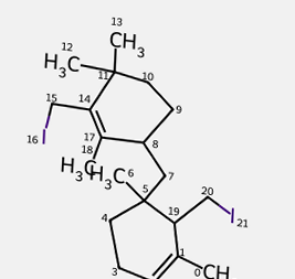 CC1=CCCC(C)(CC2CCC(C)(C)C(CI)=C2C)C1CI